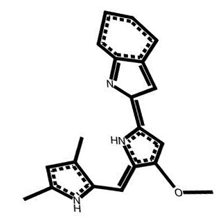 COc1c/c(=C2\C=c3ccccc3=N2)[nH]/c1=C\c1[nH]c(C)cc1C